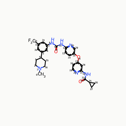 CN1CCC(c2cc(NC(=O)Nc3ccc(Oc4ccnc(NC(=O)C5CC5)c4)cn3)cc(C(F)(F)F)c2)CC1